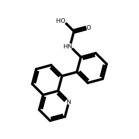 O=C(O)Nc1ccccc1-c1cccc2cccnc12